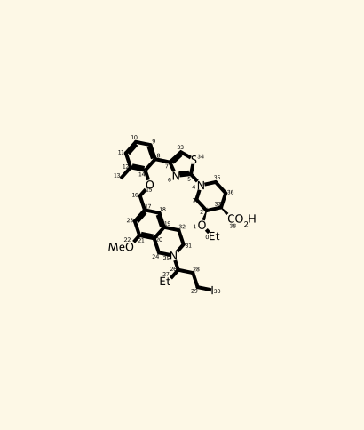 CCO[C@H]1CN(c2nc(-c3cccc(C)c3OCc3cc4c(c(OC)c3)CN(C(CC)CCI)CC4)cs2)CC[C@H]1C(=O)O